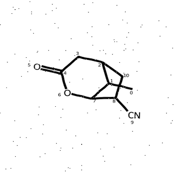 CC1C2CC(=O)OC1C(C#N)C2